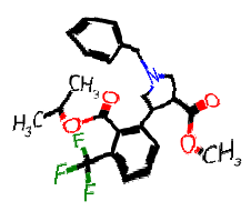 COC(=O)C1CN(Cc2ccccc2)CC1c1cccc(C(F)(F)F)c1C(=O)OC(C)C